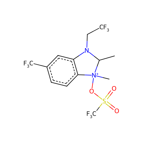 CC1N(CC(F)(F)F)c2cc(C(F)(F)F)ccc2[N+]1(C)OS(=O)(=O)C(F)(F)F